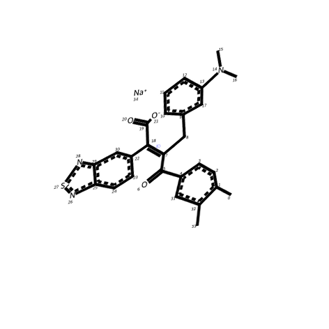 Cc1ccc(C(=O)/C(Cc2cccc(N(C)C)c2)=C(/C(=O)[O-])c2ccc3nsnc3c2)cc1C.[Na+]